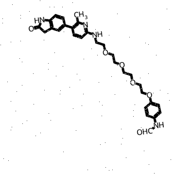 Cc1nc(NCCOCCOCCOCCOc2ccc(NC=O)cc2)ccc1-c1ccc2c(c1)CC(=O)N2